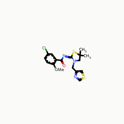 COc1ccc(Cl)cc1C(=O)N=C1SC(C)(C)CN1Cc1cscn1